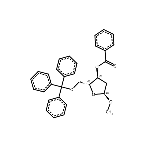 CO[C@@H]1C[C@H](OC(=S)c2ccccc2)[C@@H](COC(c2ccccc2)(c2ccccc2)c2ccccc2)O1